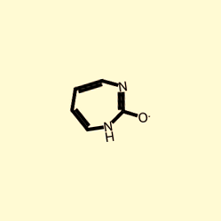 [O]C1=NC=CC=CN1